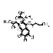 CCCCOc1c2cc(Cl)c(Cl)c(=O)c-2cn(CC(C)C)c1N(C)C(=O)O